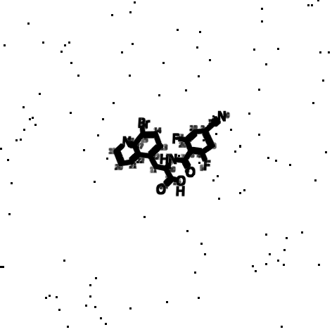 N#Cc1cc(F)c(C(=O)NC(Cc2ccc(Br)c3ncccc23)C(=O)O)c(F)c1